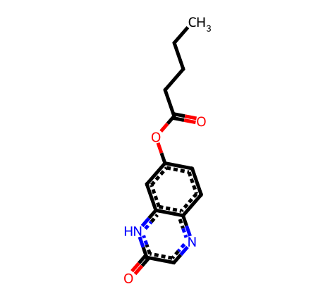 CCCCC(=O)Oc1ccc2ncc(=O)[nH]c2c1